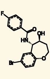 O=C(N[C@H]1c2cc(Br)ccc2OCC[C@@H]1O)c1ccc(F)cc1